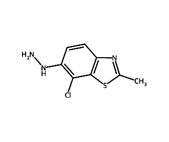 Cc1nc2ccc(NN)c(Cl)c2s1